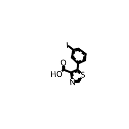 O=C(O)c1ncsc1-c1cccc(I)c1